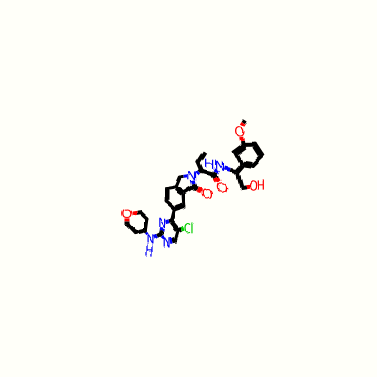 CCC(C(=O)NC(CO)c1cccc(OC)c1)N1Cc2ccc(-c3nc(NC4CCOCC4)ncc3Cl)cc2C1=O